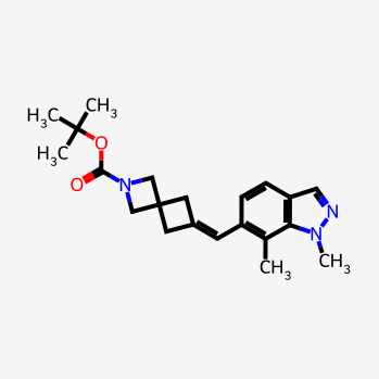 Cc1c(C=C2CC3(C2)CN(C(=O)OC(C)(C)C)C3)ccc2cnn(C)c12